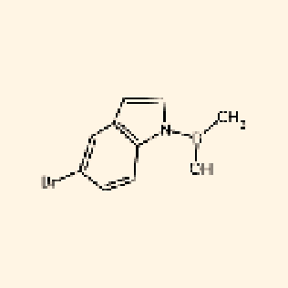 CB(O)n1ccc2cc(Br)ccc21